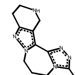 Cc1nnc2n1CCCn1nc3c(c1-2)CNCC3